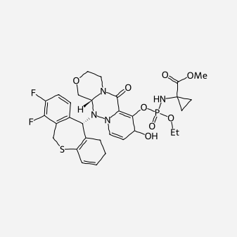 CCOP(=O)(NC1(C(=O)OC)CC1)OC1=C2C(=O)N3CCOC[C@H]3N([C@@H]3C4=C(C=CCC4)SCc4c3ccc(F)c4F)N2C=CC1O